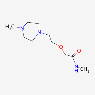 CNC(=O)COCCN1CCN(C)CC1